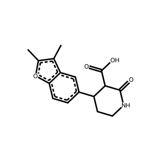 Cc1oc2ccc(C3CCNC(=O)C3C(=O)O)cc2c1C